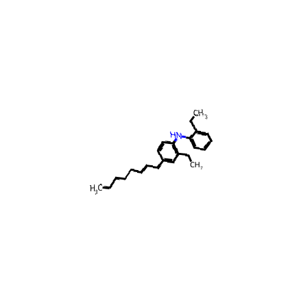 CCCCCCCCc1ccc(Nc2ccccc2CC)c(CC)c1